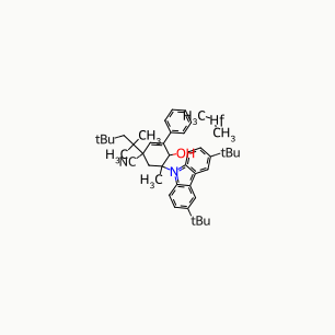 CC(C)(C)CC(C)(C)C1(C#N)C=C(c2ccccc2)C(O)C(C)(n2c3ccc(C(C)(C)C)cc3c3cc(C(C)(C)C)ccc32)C1.[CH3][Hf][CH3]